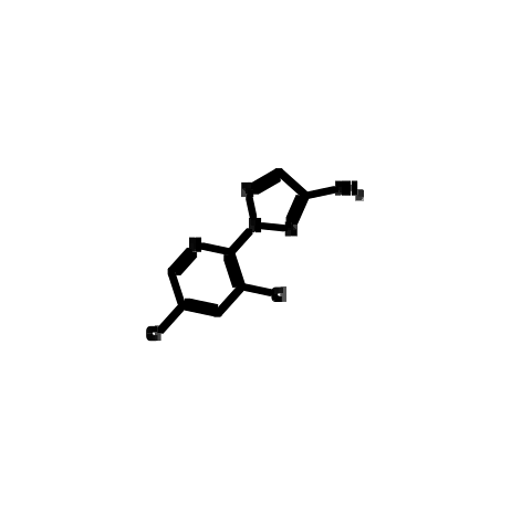 Nc1cnn(-c2ncc(Cl)cc2Cl)n1